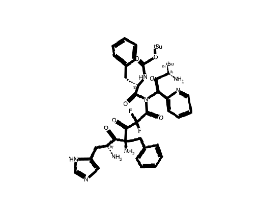 CC[C@H](C)[C@H](N)C(=O)C(c1ccccn1)N(C(=O)[C@H](Cc1ccccc1)NC(=O)OC(C)(C)C)C(=O)C(F)(F)C(=O)C(N)(Cc1ccccc1)C(=O)[C@H](N)Cc1cnc[nH]1